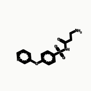 NCCC(=O)NS(=O)(=O)c1ccc(Oc2cccnc2)cc1